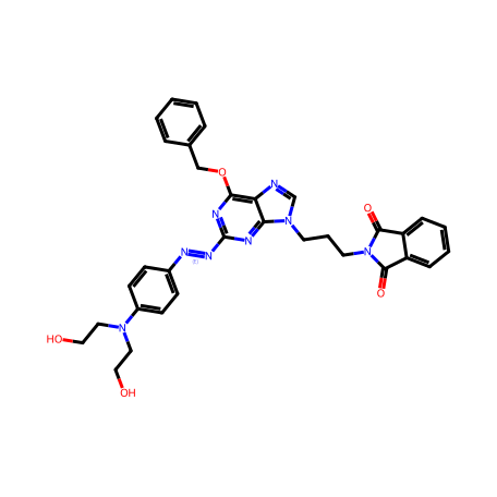 O=C1c2ccccc2C(=O)N1CCCn1cnc2c(OCc3ccccc3)nc(/N=N/c3ccc(N(CCO)CCO)cc3)nc21